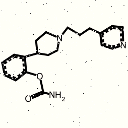 NC(=O)Oc1ccccc1C1CCN(C[CH]Cc2ccncc2)CC1